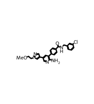 COCCn1cc(-c2cnc(N)c(-c3ccc(C(=O)NCc4cccc(Cl)c4)cc3)c2)cn1